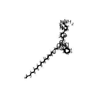 CCCCCCCCCCCCCCCCOCCOP(=O)(OCC1CCC(c2ccc3c(N)ncnn23)O1)Oc1ccccc1Cl